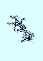 C=C(N)NCC/C=C(/NC(=O)[C@H](CCCCN)NC(=O)C(Cc1cnc[nH]1)NC(=O)[C@@H]1CCCN1C(=O)[C@@H](CCCN)NC(=O)CNC(=O)[C@@H](NC(=O)[C@@H](NC(=O)C(N)CCCCN)C(O)CN)[C@@H](O)CN)C(=O)N[C@@H](CCCCN)C(=O)NCCCCN